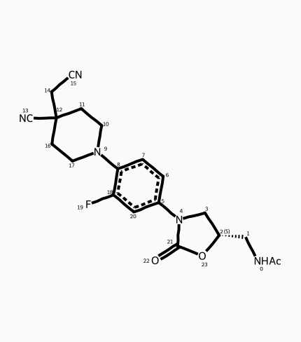 CC(=O)NC[C@H]1CN(c2ccc(N3CCC(C#N)(CC#N)CC3)c(F)c2)C(=O)O1